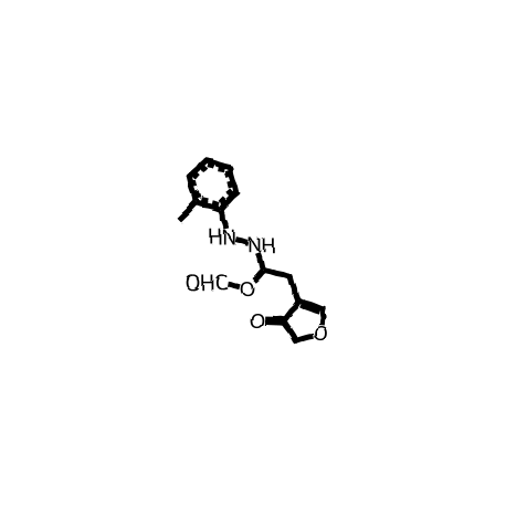 Cc1ccccc1NNC(CC1=COCC1=O)OC=O